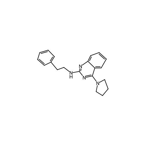 c1ccc(CCNc2nc(N3CCCC3)c3ccccc3n2)cc1